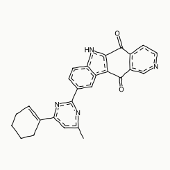 Cc1cc(C2=CCCCC2)nc(-c2ccc3[nH]c4c(c3c2)C(=O)c2cnccc2C4=O)n1